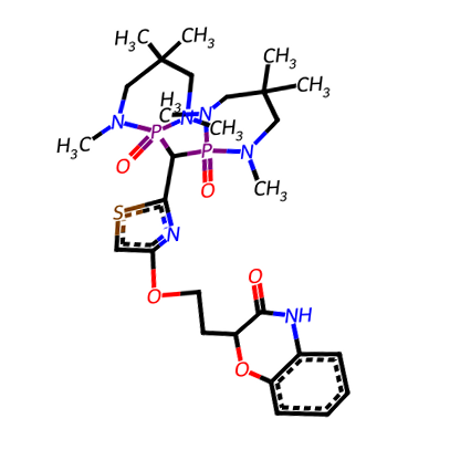 CN1CC(C)(C)CN(C)P1(=O)C(c1nc(OCCC2Oc3ccccc3NC2=O)cs1)P1(=O)N(C)CC(C)(C)CN1C